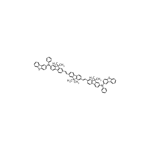 CC1(C)c2cc(/C=C/c3ccc4c(c3)C(C)(C)c3cc(N(c5ccccc5)c5ccc6sc7ccccc7c6c5)ccc3-4)ccc2-c2ccc(/C=C/c3ccc4c(c3)C(C)(C)c3cc(N(c5ccccc5)c5ccc6sc7ccccc7c6c5)ccc3-4)cc21